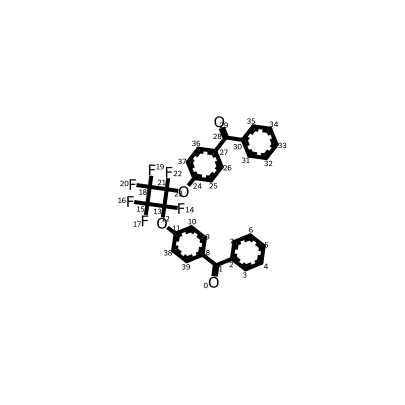 O=C(c1ccccc1)c1ccc(OC2(F)C(F)(F)C(F)(F)C2(F)Oc2ccc(C(=O)c3ccccc3)cc2)cc1